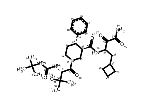 CC(C)(C)NC(=O)N[C@H](C(=O)N1CC[C@H](c2ccccc2)[C@@H](C(=O)NC(CC2CCC2)C(=O)C(N)=O)C1)C(C)(C)C